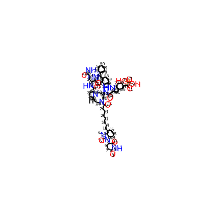 Cn1c(=O)n(C2CCC(=O)NC2=O)c2cccc(CCCCCCCC(=O)N3CC[C@H]4CC[C@@H](C(=O)N[C@@H](CCC(N)=O)C(=O)NC(c5ccccc5)c5ccccc5)N4C[C@@H](NC(=O)c4cc5cc(C(=O)P(=O)(O)O)ccc5[nH]4)C3)c21